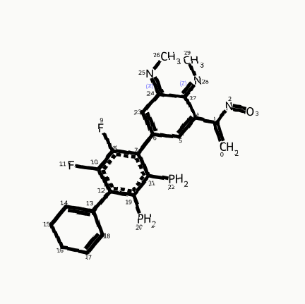 C=C(N=O)C1=CC(c2c(F)c(F)c(C3=CCCC=C3)c(P)c2P)=CC(=N/C)/C1=N\C